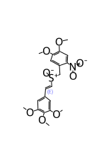 COc1cc(C[S+]([O-])/C=C/c2cc(OC)c(OC)c(OC)c2)c([N+](=O)[O-])cc1OC